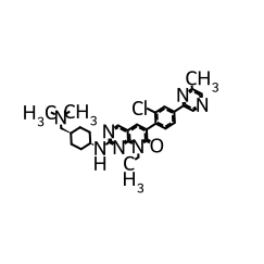 CCn1c(=O)c(-c2ccc(-c3cncc(C)n3)cc2Cl)cc2cnc(N[C@H]3CC[C@H](CN(C)C)CC3)nc21